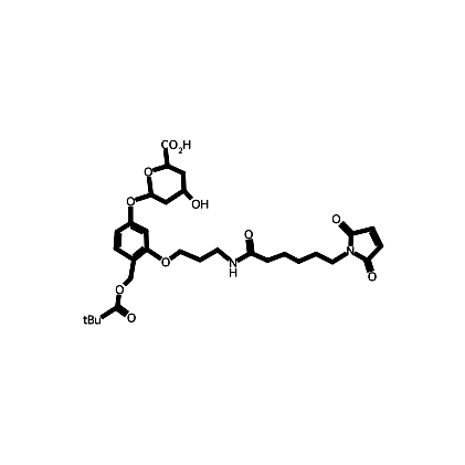 CC(C)(C)C(=O)OCc1ccc(OC2CC(O)CC(C(=O)O)O2)cc1OCCCNC(=O)CCCCCN1C(=O)C=CC1=O